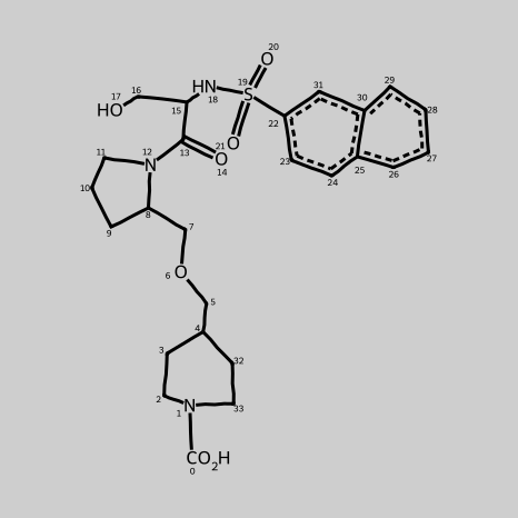 O=C(O)N1CCC(COCC2CCCN2C(=O)C(CO)NS(=O)(=O)c2ccc3ccccc3c2)CC1